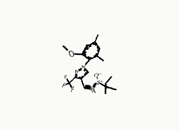 COc1cc(C)cc(C)c1-n1cc(/C=N\[S@+]([O-])C(C)(C)C)c(C(F)(F)F)n1